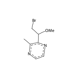 COC(CBr)c1nccnc1C